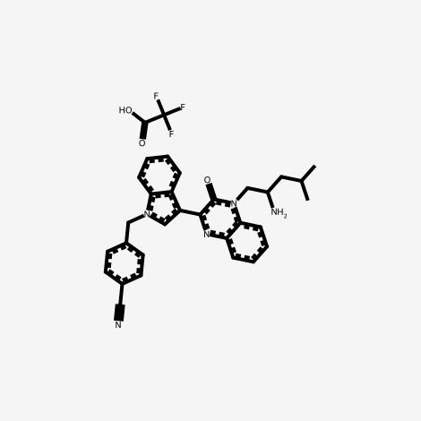 CC(C)CC(N)Cn1c(=O)c(-c2cn(Cc3ccc(C#N)cc3)c3ccccc23)nc2ccccc21.O=C(O)C(F)(F)F